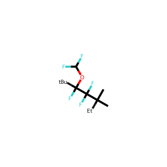 CCC(C)(C)C(F)(F)C(F)(OC(F)F)C(C)(C)C